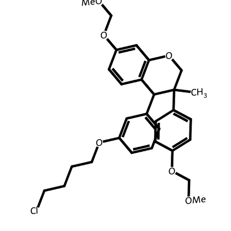 COCOc1ccc(C2(C)COc3cc(OCOC)ccc3C2c2cccc(OCCCCCl)c2)cc1